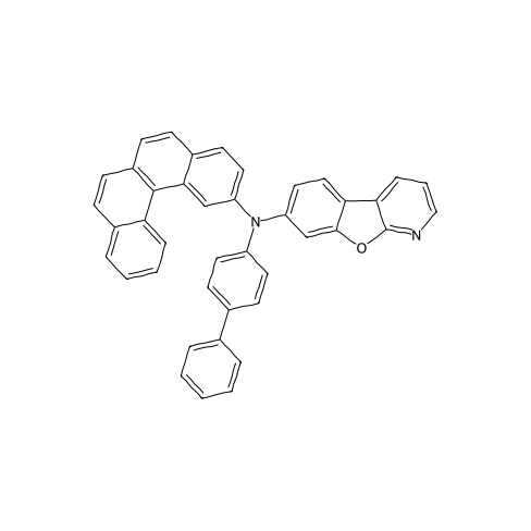 c1ccc(-c2ccc(N(c3ccc4c(c3)oc3ncccc34)c3ccc4ccc5ccc6ccccc6c5c4c3)cc2)cc1